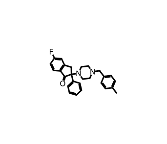 Cc1ccc(CN2CCN(C3(c4ccccc4)Cc4cc(F)ccc4C3=O)CC2)cc1